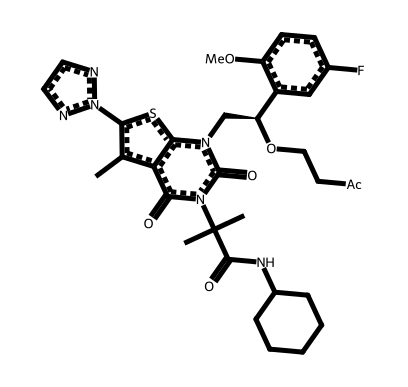 COc1ccc(F)cc1[C@H](Cn1c(=O)n(C(C)(C)C(=O)NC2CCCCC2)c(=O)c2c(C)c(-n3nccn3)sc21)OCCC(C)=O